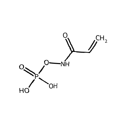 C=CC(=O)NOP(=O)(O)O